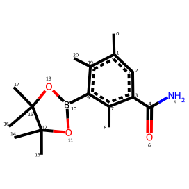 Cc1cc(C(N)=O)c(C)c(B2OC(C)(C)C(C)(C)O2)c1C